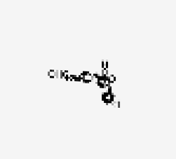 O=COCCN1CCN(Cc2ccn(Cc3cccc(Cl)c3)c(=O)c2O)CC1